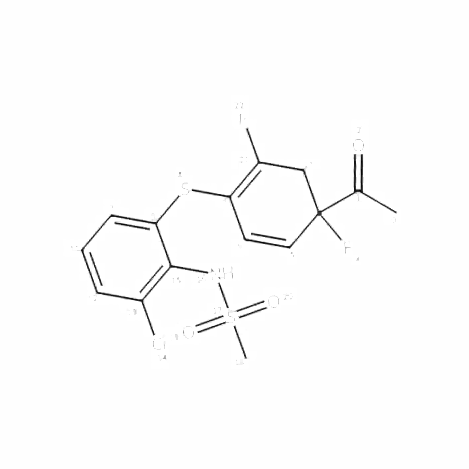 CC(=O)C1(F)C=CC(Sc2cccc(Cl)c2NS(C)(=O)=O)=C(F)C1